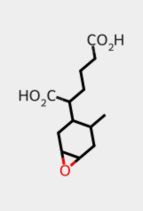 CC1CC2OC2CC1C(CCCC(=O)O)C(=O)O